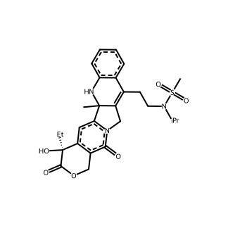 CC[C@@]1(O)C(=O)OCc2c1cc1n(c2=O)CC2=C(CCN(C(C)C)S(C)(=O)=O)c3ccccc3NC21C